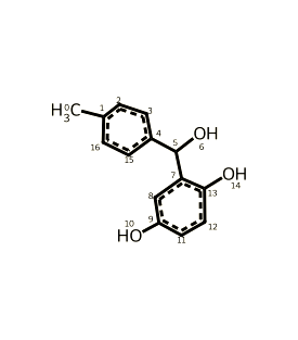 Cc1ccc(C(O)c2cc(O)ccc2O)cc1